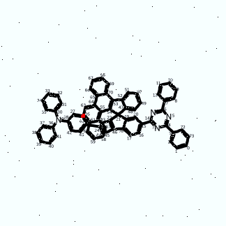 c1ccc(-c2nc(-c3ccccc3)nc(-c3ccc4c(c3)C3(c5cc(-c6ccc(N(c7ccccc7)c7ccccc7)cc6)ccc5-4)c4ccccc4-c4c3c3c5ccccc5ccc3c3ccccc43)n2)cc1